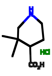 CC1(C)CNCCC1C(=O)O.Cl